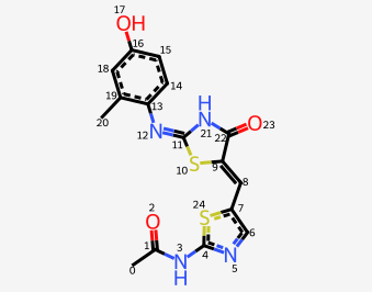 CC(=O)Nc1ncc(C=C2SC(=Nc3ccc(O)cc3C)NC2=O)s1